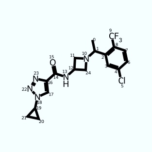 CC(c1cc(Cl)ccc1C(F)(F)F)N1CC(NC(=O)c2cn(C3CC3)nn2)C1